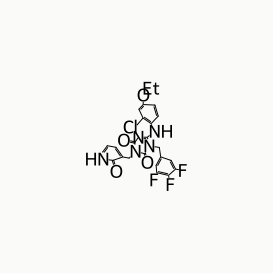 CCOc1ccc(Nc2nc(=O)n(Cc3ccc[nH]c3=O)c(=O)n2Cc2cc(F)c(F)c(F)c2)c(Cl)c1